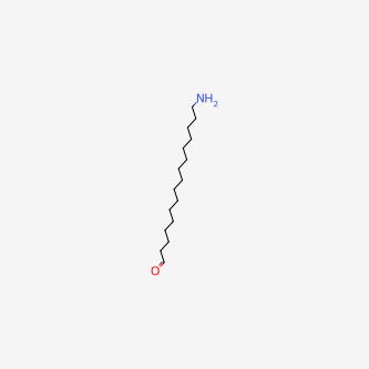 NCCCCCCCCCCCCCCCC=O